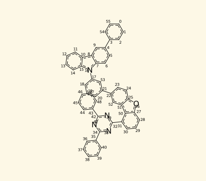 c1ccc(-c2ccc3c(c2)c2ccccc2n3-c2cccc(-c3ccc4oc5cccc(-c6nc(-c7ccccc7)nc(-c7ccccc7)n6)c5c4c3)c2)cc1